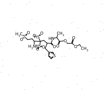 CCOC(=O)COC(=O)C(C)NC(=O)C(Cc1ccsc1)CC(C(N)CCS(C)(=O)=O)([SH](=O)=O)[SH](=O)=O